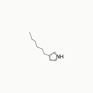 CCCCCCc1cc[nH]c1